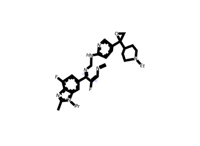 C=N/C=C(F)\C(=N/CNc1ccc(C2(C3CCN(CC)CC3)CO2)cn1)c1cc(F)c2nc(C)n(C(C)C)c2c1